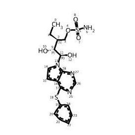 CC[C@@H](COS(N)(=O)=O)[C@@H](O)[C@@H](O)n1ccc2c(Sc3ccccc3)ncnc21